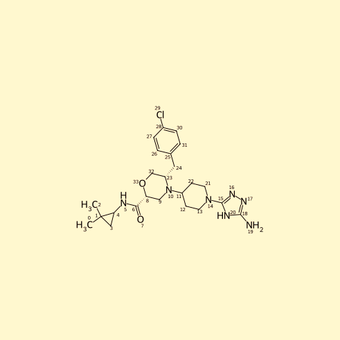 CC1(C)CC1NC(=O)[C@H]1CN(C2CCN(c3nnc(N)[nH]3)CC2)[C@@H](Cc2ccc(Cl)cc2)CO1